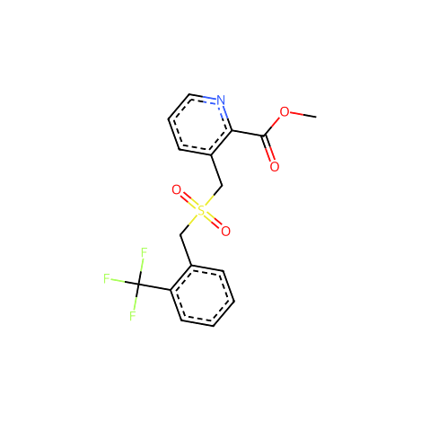 COC(=O)c1ncccc1CS(=O)(=O)Cc1ccccc1C(F)(F)F